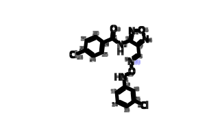 O=C(Nc1nonc1/C=N/ONc1cccc(Cl)c1)c1ccc(Cl)cc1